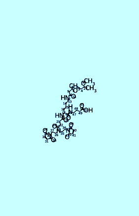 COC(C)CCOC(C)CC(=O)NCCCC[C@H](NC(=O)CCC(=O)N(CCN1C(=O)C=CC1=O)CCN1C(=O)C=CC1=O)C(=O)NCCCC(=O)O